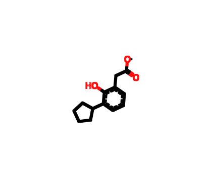 [O]C(=O)Cc1cccc(C2CCCC2)c1O